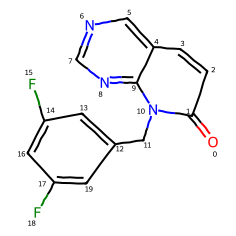 O=c1ccc2cncnc2n1Cc1cc(F)cc(F)c1